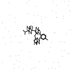 Cc1ccc2c(c1)-n1nncc1Cc1c(-c3nc(C(C)C)no3)ncn1-2